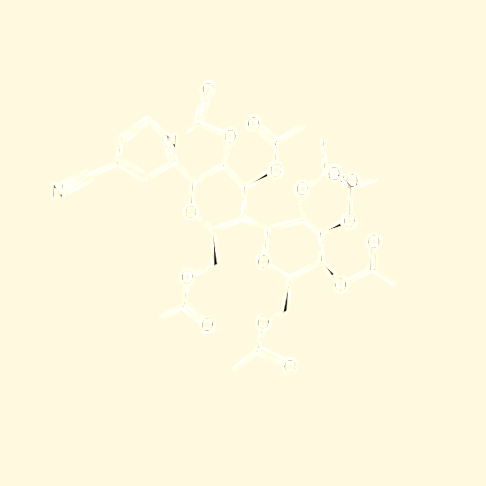 CC(=O)OC[C@H]1O[C@H](c2cc(C#N)ccn2)[C@H](OC(C)=O)[C@@H](OC(C)=O)C1[C@H]1O[C@H](COC(C)=O)[C@H](OC(C)=O)[C@H](OC(C)=O)[C@H]1OC(C)=O